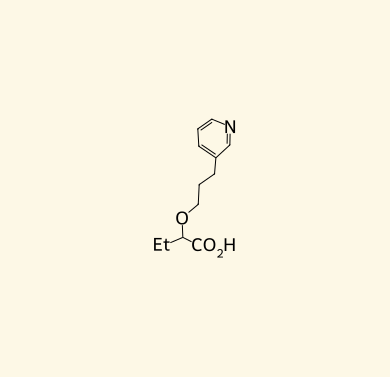 CCC(OCCCc1cccnc1)C(=O)O